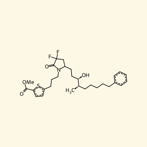 COC(=O)c1ccc(CCCN2C(=O)C(F)(F)CC2CC[C@@H](O)[C@H](C)CCCCCc2ccccc2)s1